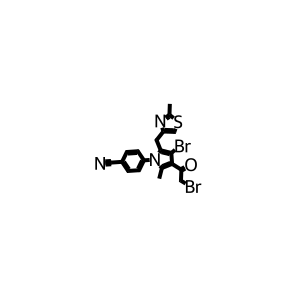 Cc1nc(Cc2c(Br)c(C(=O)CBr)c(C)n2-c2ccc(C#N)cc2)cs1